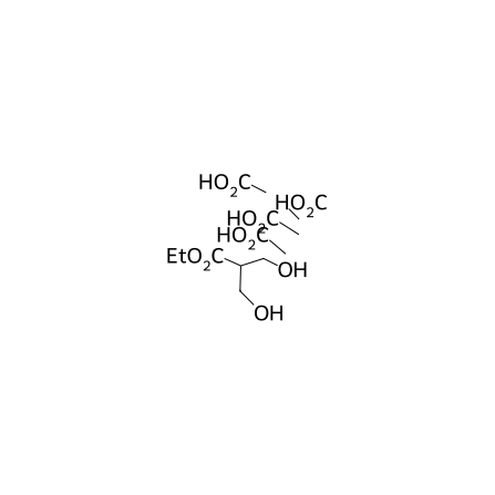 CC(=O)O.CC(=O)O.CC(=O)O.CC(=O)O.CCOC(=O)C(CO)CO